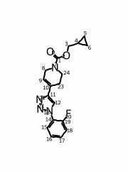 O=C(OCC1CC1)N1CC=C(c2cn(-c3ccccc3F)nn2)CC1